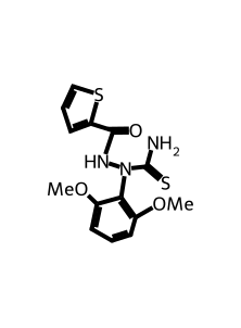 COc1cccc(OC)c1N(NC(=O)c1cccs1)C(N)=S